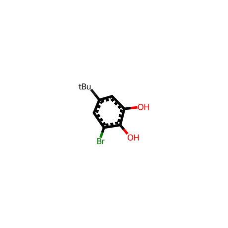 CC(C)(C)c1cc(O)c(O)c(Br)c1